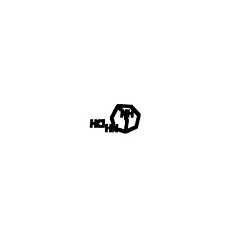 C1CC2CNC(C1)CN2.Cl